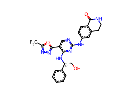 O=C1NCCc2cc(Nc3ncc(-c4nnc(C(F)(F)F)o4)c(N[C@H](CO)c4ccccc4)n3)ccc21